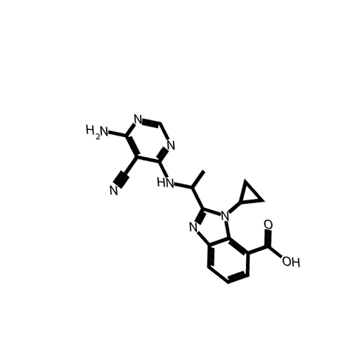 CC(Nc1ncnc(N)c1C#N)c1nc2cccc(C(=O)O)c2n1C1CC1